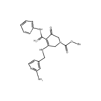 C=C(Nc1ccccc1)C1=C(NCc2ccnc(N)c2)CN(C(=O)OC(C)(C)C)CC1=O